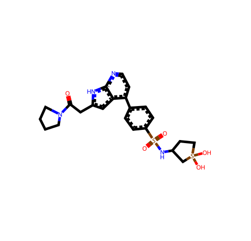 O=C(Cc1cc2c(-c3ccc(S(=O)(=O)NC4CCS(O)(O)C4)cc3)ccnc2[nH]1)N1CCCC1